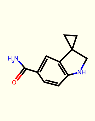 NC(=O)c1ccc2c(c1)C1(CC1)CN2